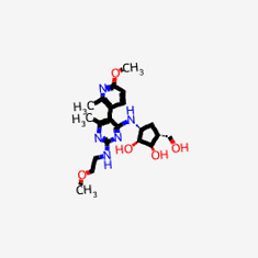 COCCNc1nc(C)c(-c2ccc(OC)nc2C)c(N[C@@H]2C[C@H](CO)[C@@H](O)[C@H]2O)n1